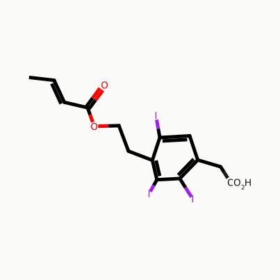 CC=CC(=O)OCCc1c(I)cc(CC(=O)O)c(I)c1I